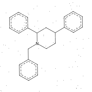 c1ccc(CN2CCC(c3ccccc3)CC2c2ccccc2)cc1